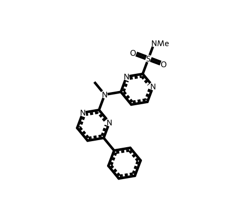 CNS(=O)(=O)c1nccc(N(C)c2nccc(-c3ccccc3)n2)n1